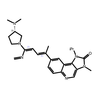 C=N/C(=C\C=C(/C)c1ccc2ncc3c(c2c1)n(C(C)C)c(=O)n3C)N1CC[C@H](N(C)C)C1